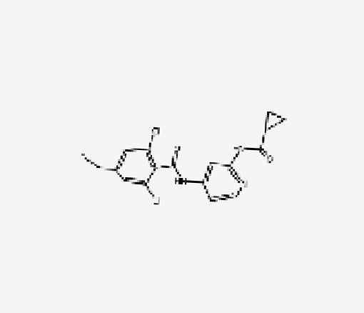 O=C(Nc1ccnc(NC(=O)C2CC2)c1)c1c(Cl)cc(CF)cc1Cl